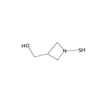 OCC1CN(S)C1